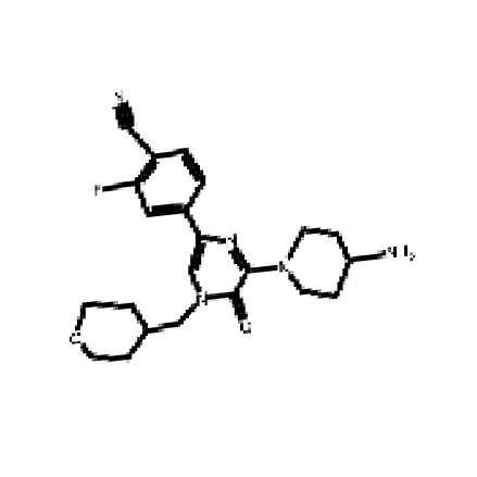 N#Cc1ccc(-c2cn(CC3CCOCC3)c(=O)c(N3CCC(N)CC3)n2)cc1F